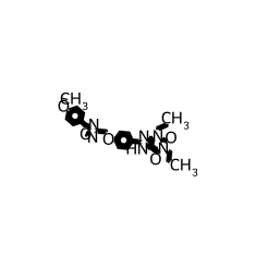 CCCn1c(=O)c2[nH]c(-c3ccc(OCc4noc(-c5ccc(OC)cc5)n4)cc3)nc2n(CCC)c1=O